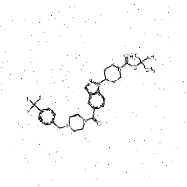 CC(C)(C)OC(=O)N1CCC(n2ncc3cc(C(=O)N4CCN(Cc5ccc(C(F)(F)F)cc5)CC4)ccc32)CC1